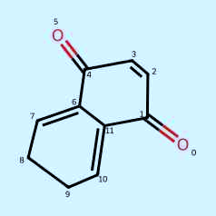 O=C1C=CC(=O)C2=CCCC=C12